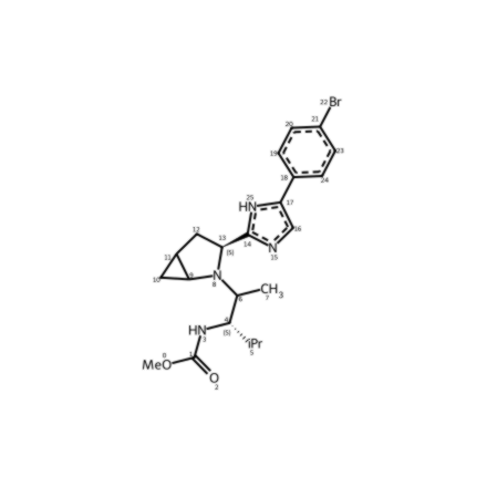 COC(=O)N[C@@H](C(C)C)C(C)N1C2CC2C[C@H]1c1ncc(-c2ccc(Br)cc2)[nH]1